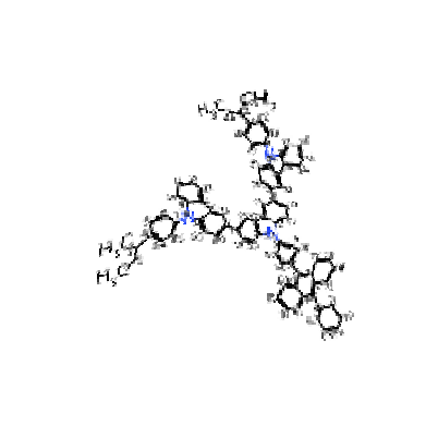 CCC(C)c1ccc(-n2c3ccccc3c3cc(-c4ccc5c(c4)c4cc(-c6ccc7c(c6)c6ccccc6n7-c6ccc(C(C)CC)cc6)ccc4n5-c4ccc(-c5c6ccccc6c(-c6ccccc6)c6ccccc56)cc4)ccc32)cc1